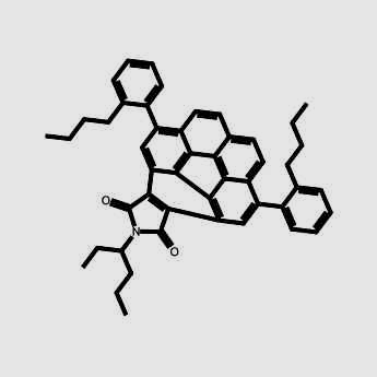 CCCCc1ccccc1-c1cc2c3c(=O)n(C(CC)CCC)c(=O)c3c3cc(-c4ccccc4CCCC)c4ccc5ccc1c1c5c4c3c21